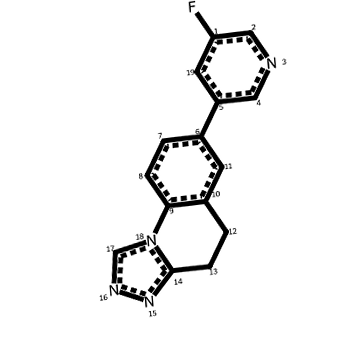 Fc1cncc(-c2ccc3c(c2)CCc2nncn2-3)c1